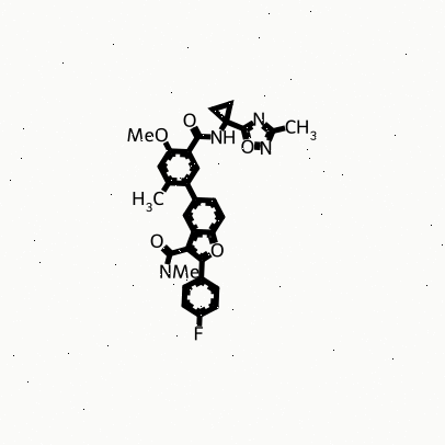 CNC(=O)c1c(-c2ccc(F)cc2)oc2ccc(-c3cc(C(=O)NC4(c5nc(C)no5)CC4)c(OC)cc3C)cc12